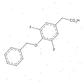 O=C(O)Cc1cc(F)c(OCc2ccccc2)c(F)c1